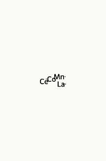 [Ce].[Co].[La].[Mn]